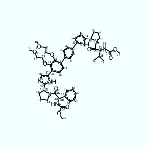 COCCOc1c(-c2ccc(-c3cnc([C@@H]4CCCN4C(=O)[C@@H](NC(=O)OC)C(C)C)[nH]3)cc2)ccc(-c2cnc([C@@H]3CCCN3C(=O)[C@H](NC(=O)OC)c3ccccc3)[nH]2)c1OCCOC